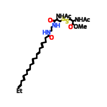 CCC=CCC=CCC=CCC=CCC=CCC=CCCC(=O)NCCNC(=O)C(CSSCC(NC(C)=O)C(=O)OC)NC(C)=O